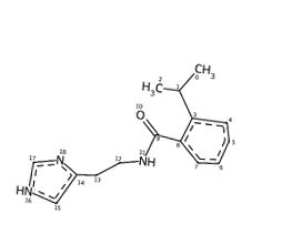 CC(C)c1ccccc1C(=O)NCCc1c[nH]cn1